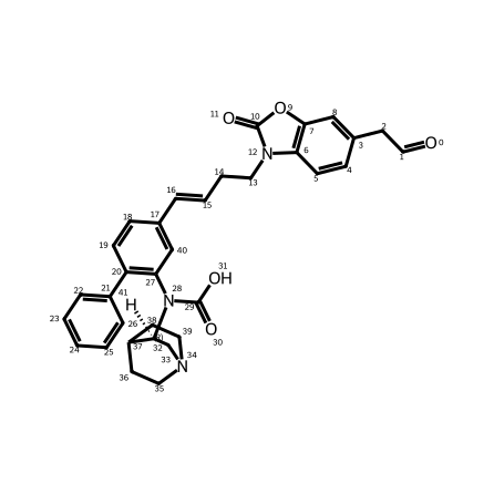 O=CCc1ccc2c(c1)oc(=O)n2CCC=Cc1ccc(-c2ccccc2)c(N(C(=O)O)[C@H]2CN3CCC2CC3)c1